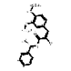 CCC[C@H](OC(=O)C(C#N)=Cc1ccc(OC(=O)OCC)c(OC(=O)OCC)c1)c1ccccc1